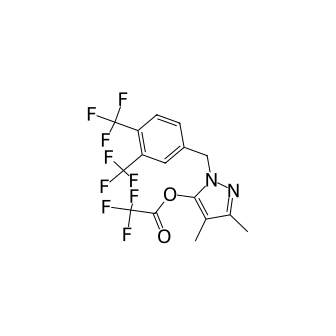 Cc1nn(Cc2ccc(C(F)(F)F)c(C(F)(F)F)c2)c(OC(=O)C(F)(F)F)c1C